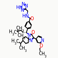 CCOc1cc(C2=NC3(CCC(C(C)C)CC3)N([C@H](CCC(C)(C)C)c3ccc(C(=O)NCc4nn[nH]n4)cc3)C2=O)ccn1